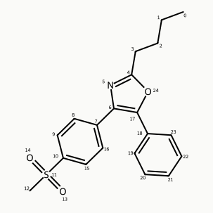 CCCCc1nc(-c2ccc(S(C)(=O)=O)cc2)c(-c2ccccc2)o1